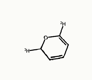 [2H]C1=CC=CC([2H])O1